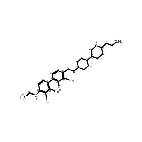 CCCC1CCC(C2CCC(CCc3ccc(-c4ccc(OCC)c(F)c4F)c(F)c3F)CC2)CO1